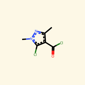 Cc1nn(C)c(Cl)c1C(=O)Cl